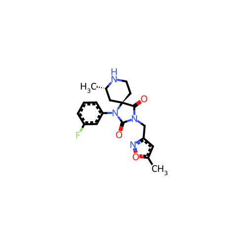 Cc1cc(CN2C(=O)N(c3cccc(F)c3)[C@@]3(CCN[C@@H](C)C3)C2=O)no1